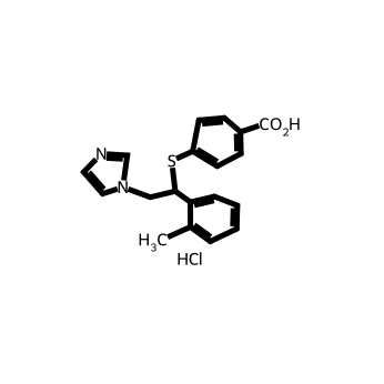 Cc1ccccc1C(Cn1ccnc1)Sc1ccc(C(=O)O)cc1.Cl